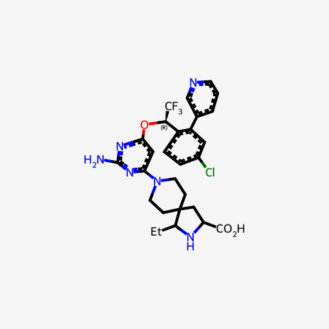 CCC1NC(C(=O)O)CC12CCN(c1cc(O[C@H](c3ccc(Cl)cc3-c3cccnc3)C(F)(F)F)nc(N)n1)CC2